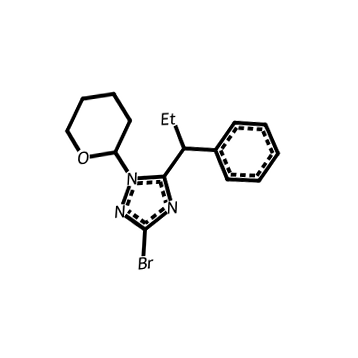 CCC(c1ccccc1)c1nc(Br)nn1C1CCCCO1